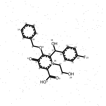 O=C(O)c1cc(=O)c(OCc2ccccc2)c(C(O)c2ccc(F)cc2)n1CCO